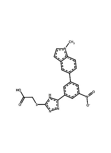 Cn1ccc2cc(-c3cc(-c4nnc(SCC(=O)O)[nH]4)cc([N+](=O)[O-])c3)ccc21